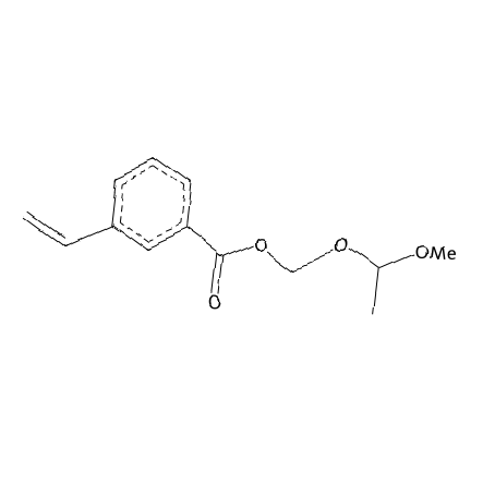 C=Cc1cccc(C(=O)OCOC(C)OC)c1